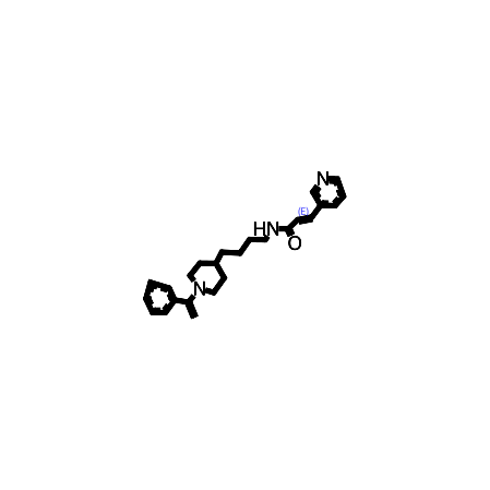 C=C(c1ccccc1)N1CCC(CCCCNC(=O)/C=C/c2cccnc2)CC1